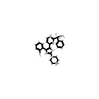 C[C@](N)(c1ccccc1)c1nccc(-c2sc(N3CCNCC3)nc2-c2ccccc2F)n1